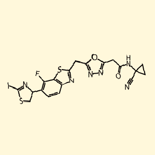 N#CC1(NC(=O)Cc2nnc(Cc3nc4ccc(C5CSC(I)=N5)c(F)c4s3)o2)CC1